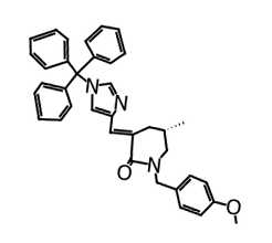 COc1ccc(CN2C[C@@H](C)CC(=Cc3cn(C(c4ccccc4)(c4ccccc4)c4ccccc4)cn3)C2=O)cc1